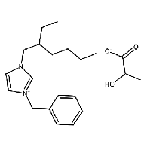 CC(O)C(=O)[O-].CCCCC(CC)Cn1cc[n+](Cc2ccccc2)c1